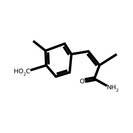 CC(=Cc1ccc(C(=O)O)c(C)c1)C(N)=O